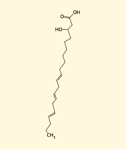 CCCC=CCC=CCC=CCCCCCCC(O)CC(=O)O